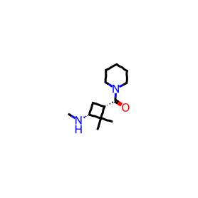 CN[C@@H]1C[C@H](C(=O)N2CCCCC2)C1(C)C